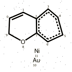 C1=Cc2ccccc2OC1.[Au].[Ni]